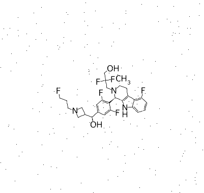 C[C@@H]1Cc2c([nH]c3cccc(F)c23)[C@@H](c2c(F)cc([C@@H](O)C3CN(CCCF)C3)cc2F)N1CC(F)(F)CO